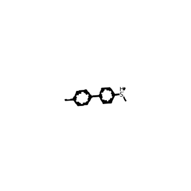 Cc1ccc(-c2ccc([SiH](C)C)cc2)cc1